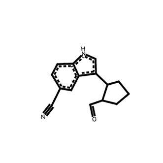 N#Cc1ccc2[nH]cc(C3CCCC3C=O)c2c1